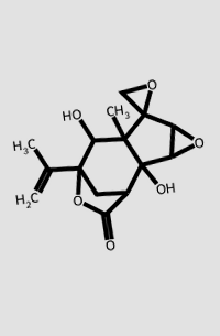 C=C(C)C12CC(C(=O)O1)C1(O)C3OC3C3(CO3)C1(C)C2O